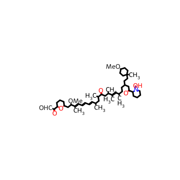 COC1CCC(C)(CCC(CCC(C)/C=C(\C)C(C)CC(=O)C(C)CC(C)/C=C/C=C/C=C(\C)C(CC2CCCC(C(=O)C=O)O2)OC)CC(=O)C2CCCCN2O)CC1